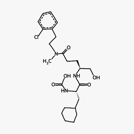 CN(CCc1ccccc1Cl)C(=O)CC[C@@H](CO)NC(=O)[C@H](CC1CCCCC1)NC(=O)O